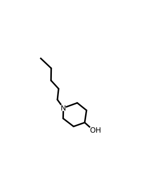 CCCCCN1CCC(O)CC1